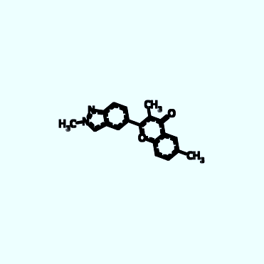 Cc1ccc2oc(-c3ccc4nn(C)cc4c3)c(C)c(=O)c2c1